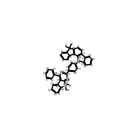 CC1(C)c2ccccc2-c2c1ccc1c3ccccc3n(-c3ccc(-c4nc(-c5ccccc5)c5c(n4)[Si](C)(C)c4ccccc4-5)cc3)c21